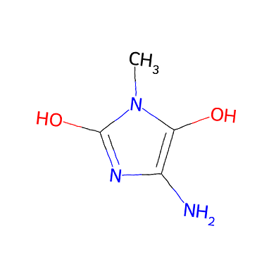 Cn1c(O)nc(N)c1O